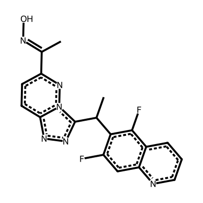 CC(=NO)c1ccc2nnc(C(C)c3c(F)cc4ncccc4c3F)n2n1